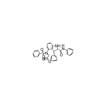 O=C(Nc1ccccc1)C1Nc2cccc(N(C[SH](=O)=O)S(=O)(=O)c3ccccc3)c2C1c1ccccc1